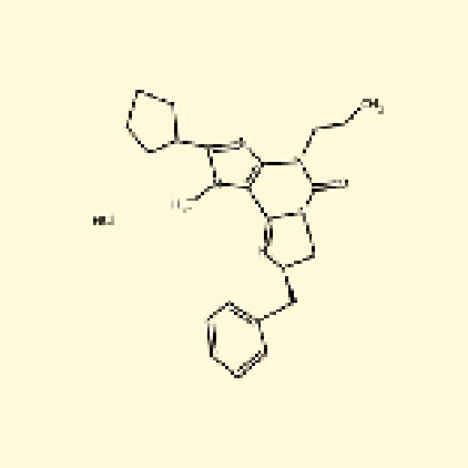 CCCN1C(=O)N2C[C@@H](Cc3ccccc3)N=C2c2c1nc(C1CCCC1)n2C.Cl